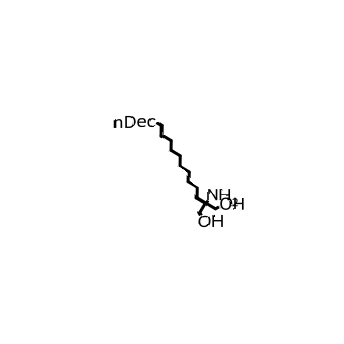 CCCCCCCCCCCCCCCCCCCCC(N)(CO)CO